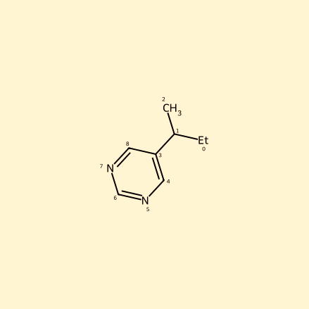 CCC(C)c1cncnc1